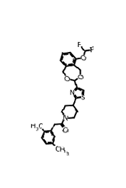 Cc1ccc(C)c(CC(=O)N2CCC(c3nc(C4OCc5cccc(OC(F)F)c5CO4)cs3)CC2)c1